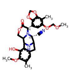 COCOc1cc([C@H]2C(=O)OCC3C4NC(Cc5cc(C)c(OC)c(O)c54)[C@@H](C#N)N32)c2c(c1C)OCO2